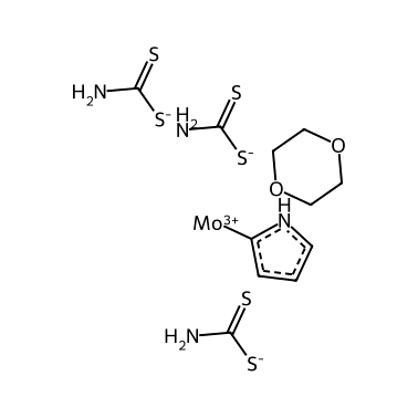 C1COCCO1.NC(=S)[S-].NC(=S)[S-].NC(=S)[S-].[Mo+3][c]1ccc[nH]1